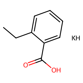 CCc1ccccc1C(=O)O.[KH]